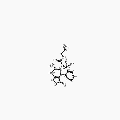 C=CCOC(=O)OC1=C(C)NC2=C(C(=O)OC2)C1c1ccccc1C(F)(F)F